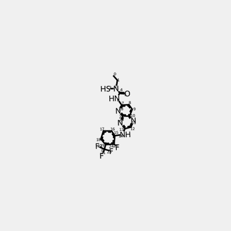 CCN(S)C(=O)Nc1ccc2ncc(Nc3cccc(C(F)(F)F)c3F)nc2n1